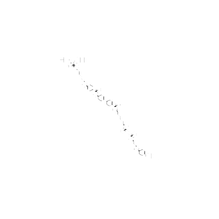 C=C(C)C(=O)OCCCCCCOc1ccc(C(=O)Oc2ccc(-c3ccc(C(=O)OCCCCCCOC(=O)CCC(=O)OCCCOc4ccc(C)cc4)cc3)cc2)cc1